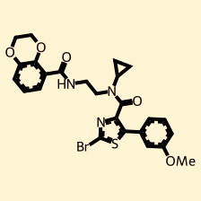 COc1cccc(-c2sc(Br)nc2C(=O)N(CCNC(=O)c2cccc3c2OCCO3)C2CC2)c1